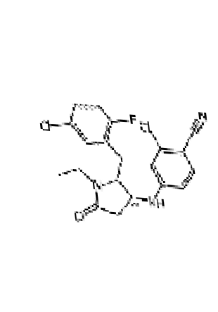 CCN1C(=O)C[C@H](Nc2ccc(C#N)c(Cl)c2)C1Cc1cc(Cl)ccc1F